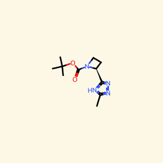 Cc1nnc([C@@H]2CCN2C(=O)OC(C)(C)C)[nH]1